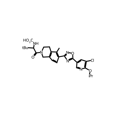 Cc1c(-c2noc(-c3cnc(OC(C)C)c(Cl)c3)n2)ccc2c1CCN(C(=O)C(NC(=O)O)C(C)(C)C)C2